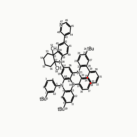 CC(C)(C)c1cccc(N2c3cc(C(C)(C)C)ccc3B3c4ccccc4N(c4ccc(C(C)(C)C)cc4-c4ccccc4)c4cc(N5c6ccc(-c7cccnc7)cc6C6(C)CCCCC56C)cc2c43)c1